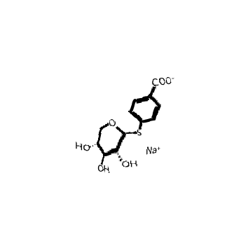 O=C([O-])c1ccc(S[C@@H]2OC[C@@H](O)[C@H](O)[C@H]2O)cc1.[Na+]